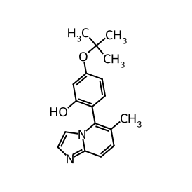 Cc1ccc2nccn2c1-c1ccc(OC(C)(C)C)cc1O